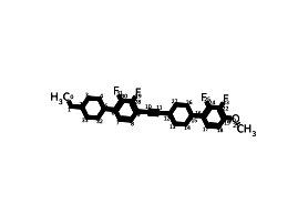 CCC1CCC(c2ccc(C#CC3CCC(c4ccc(OC)c(F)c4F)CC3)c(F)c2F)CC1